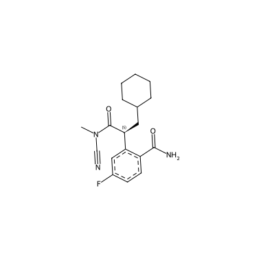 CN(C#N)C(=O)[C@@H](CC1CCCCC1)c1cc(F)ccc1C(N)=O